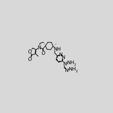 CC1=C(N2CC[C@]3(CC[C@](C)(NCc4ccc(N(N)/C=N\N)nn4)CC3)C2=O)COC1=O